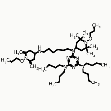 C=C1CC(NCCCCCCN(c2nc(N(CCCC)CCCC)nc(N(CCCC)CCCC)n2)C2CC(C)(C)N(OCCC)C(C)(C)C2)CC(=C)N1OCCC